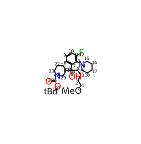 COCCCC[C@@](O)(c1cccc(F)c1N1CCCCC1)[C@@H]1CCCN(C(=O)OC(C)(C)C)C1